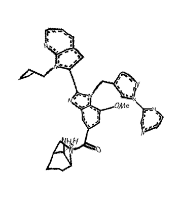 COc1cc(C(=O)N2CC3CCC2[C@@H]3N)cc2nc(-c3cc4cccnc4n3CC3CC3)n(Cc3cnn(-c4cnccn4)c3)c12